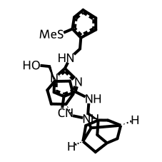 CSc1ccccc1CNc1ncc(C#N)c(NC[C@]23CC4C[C@H](C2)C(NC[C@H]2CC[C@H](CO)CC2)[C@@H](C4)C3)n1